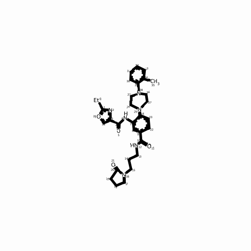 CCc1nc(C(=O)Nc2cc(C(=O)NCCCN3CCCC3=O)ccc2N2CCN(c3ccccc3C)CC2)co1